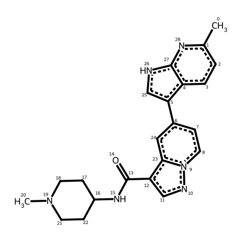 Cc1ccc2c(-c3ccn4ncc(C(=O)NC5CCN(C)CC5)c4c3)c[nH]c2n1